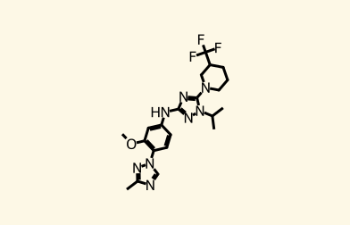 COc1cc(Nc2nc(N3CCCC(C(F)(F)F)C3)n(C(C)C)n2)ccc1-n1cnc(C)n1